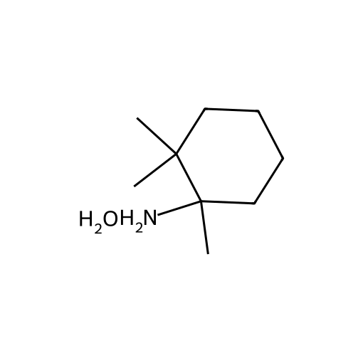 CC1(C)CCCCC1(C)N.O